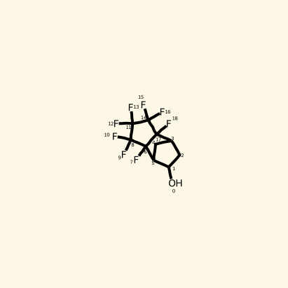 OC1CC2CC1C1(F)C(F)(F)C(F)(F)C(F)(F)C21F